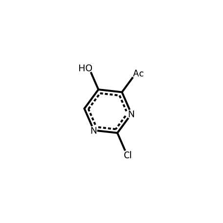 CC(=O)c1nc(Cl)ncc1O